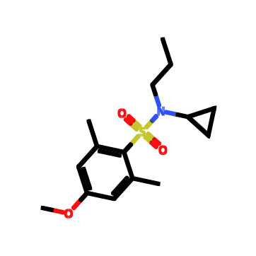 CCCN(C1CC1)S(=O)(=O)c1c(C)cc(OC)cc1C